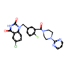 O=C(c1cc(Cn2c(=O)[nH]c(=O)c3cc(Cl)ccc32)ccc1F)N1CCN(c2ncccn2)CC1